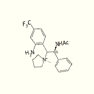 CC(=O)N[C@@H](c1ccccc1)C(c1ccc(C(F)(F)F)cc1N)[N+]1(C)CCCC1